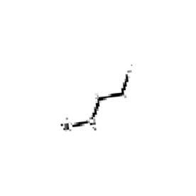 CCCCOC#N